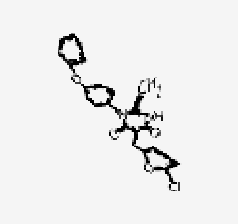 C=c1[nH]c(=O)/c(=C\c2ccc(Cl)o2)c(=O)n1-c1ccc(Oc2ccccc2)cc1